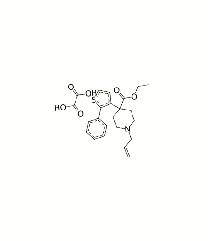 C=CCN1CCC(C(=O)OCC)(c2ccsc2-c2ccccc2)CC1.O=C(O)C(=O)O